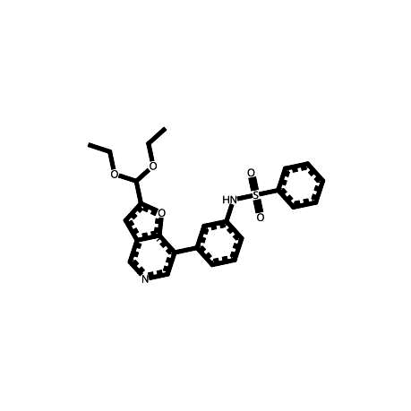 CCOC(OCC)c1cc2cncc(-c3cccc(NS(=O)(=O)c4ccccc4)c3)c2o1